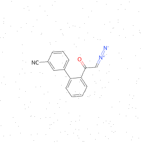 N#Cc1cccc(-c2ccccc2C(=O)C=[N+]=[N-])c1